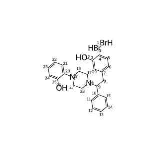 Br.Br.Oc1cccc(CC(c2ccccc2)N2CCN(c3ccccc3O)CC2)c1